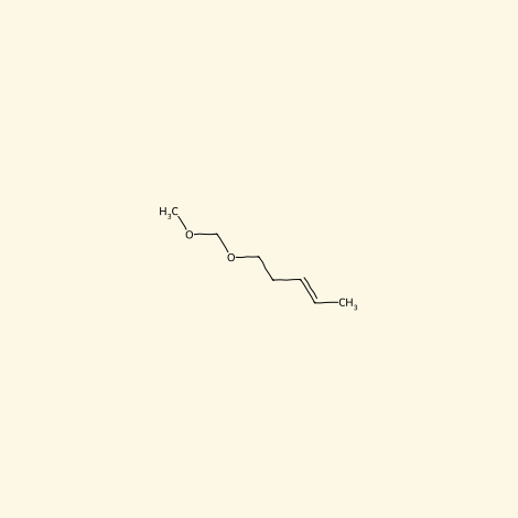 C/C=C/CCOCOC